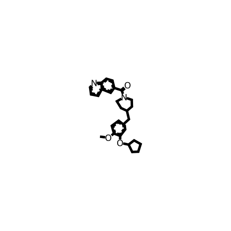 COc1ccc(CC2CCN(C(=O)c3ccc4ncccc4c3)CC2)cc1OC1CCCC1